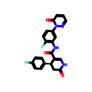 O=C1C[C@@H](c2ccc(F)cc2)C(C(=O)Nc2cc(-n3ncccc3=O)ccc2F)=CN1